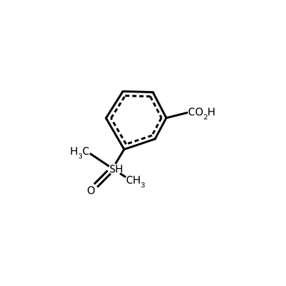 C[SH](C)(=O)c1cccc(C(=O)O)c1